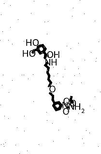 CC(=O)ON(C(N)=O)c1cccc(CCCOCCCCCCCNC[C@@H](O)c2ccc(O)c(CO)c2)c1